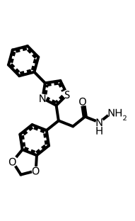 NNC(=O)CC(c1ccc2c(c1)OCO2)c1nc(-c2ccccc2)cs1